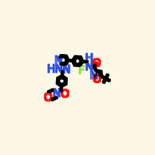 CC(C)(C)c1cc(C(=O)NCc2ccc(-c3ccnc4[nH]c(-c5ccc(C(=O)N6CCOCC6)cc5)nc34)cc2F)no1